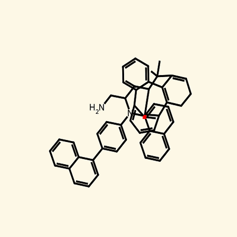 CC1(C)C2=CCCC3=C2c2ccccc2-c2cccc3c2C1CC(CN)N(c1ccc(-c2cccc3ccccc23)cc1)c1cccc2ccccc12